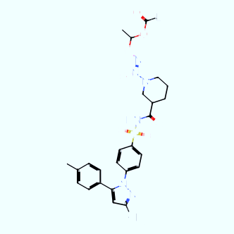 CCC(=O)OC(C)O/N=[N+](\[O-])N1CCCC(C(=O)NS(=O)(=O)c2ccc(-n3nc(C(F)(F)F)cc3-c3ccc(C)cc3)cc2)C1